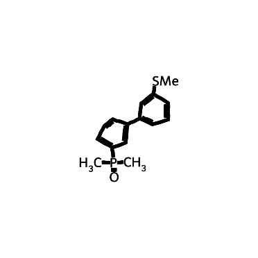 CSc1cccc(-c2cccc(P(C)(C)=O)c2)c1